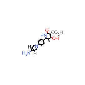 Cc1c(-c2ccc(N3C[C@@H]4C(N)[C@@H]4C3)cc2)[nH]c(=O)c(C(=O)O)c1O